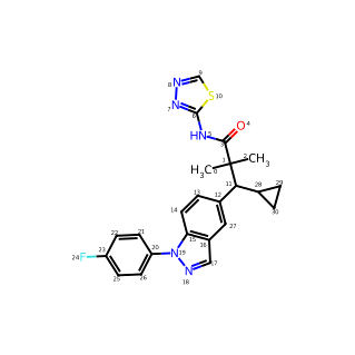 CC(C)(C(=O)Nc1nncs1)C(c1ccc2c(cnn2-c2ccc(F)cc2)c1)C1CC1